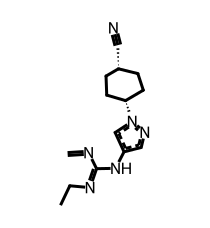 C=N/C(=N\CC)Nc1cnn([C@H]2CC[C@@H](C#N)CC2)c1